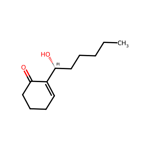 CCCCC[C@@H](O)C1=CCCCC1=O